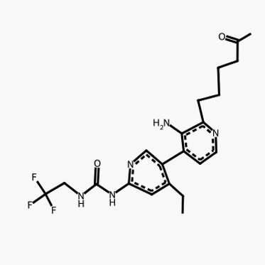 CCc1cc(NC(=O)NCC(F)(F)F)ncc1-c1ccnc(CCCCC(C)=O)c1N